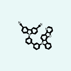 N#Cc1ccc2c(c1)c1cc(C#N)ccc1n2-c1cccc(-c2cccc(-n3c4ccccc4c4c5oc6cccnc6c5ccc43)c2)c1